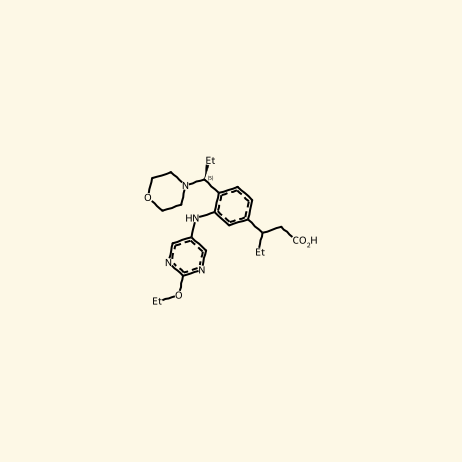 CCOc1ncc(Nc2cc(C(CC)CC(=O)O)ccc2[C@H](CC)N2CCOCC2)cn1